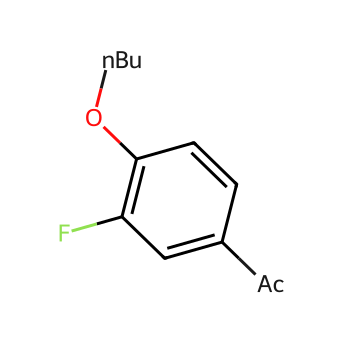 CCCCOc1ccc(C(C)=O)cc1F